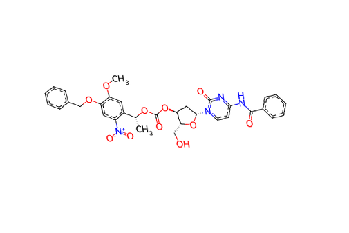 COc1cc([C@@H](C)OC(=O)O[C@H]2C[C@H](n3ccc(NC(=O)c4ccccc4)nc3=O)O[C@@H]2CO)c([N+](=O)[O-])cc1OCc1ccccc1